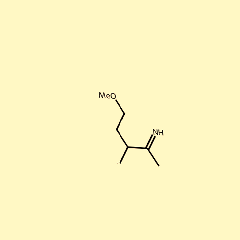 [CH2]C(CCOC)C(C)=N